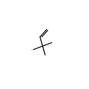 [CH]C(C)(C)C=C